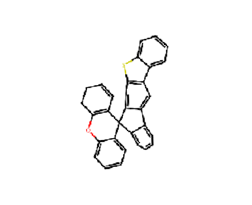 C1=CC2=C(CC1)Oc1ccccc1C21c2ccccc2-c2cc3c(cc21)sc1ccccc13